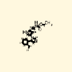 CCOC(=O)Nc1nc2[nH]nc(-n3cncc3-c3ccccc3CI)c2s1